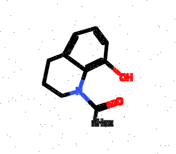 CCCCCCC(=O)N1CCCc2cccc(O)c21